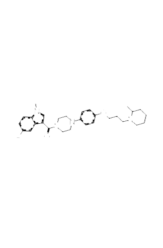 CC1CCCCN1CCCOc1ccc(N2CCN(C(=O)c3cn(C)c4ccc(F)cc34)CC2)cc1